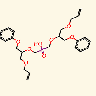 C=CCOCC(COc1ccccc1)OCP(=O)(O)COC(COCC=C)COc1ccccc1